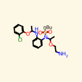 CCCCS(=O)(=O)N(c1ccccc1NC(C)Oc1ccccc1Cl)C(C)OCCN